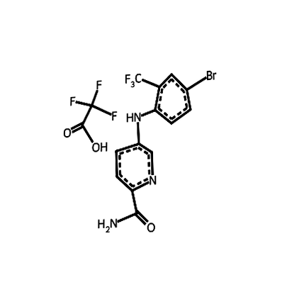 NC(=O)c1ccc(Nc2ccc(Br)cc2C(F)(F)F)cn1.O=C(O)C(F)(F)F